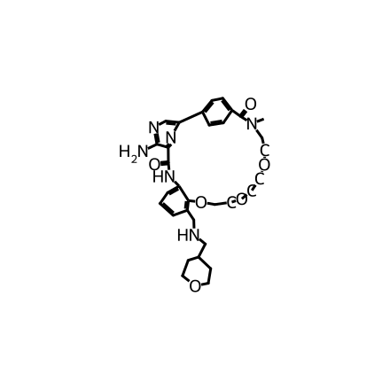 CN1CCOCCOCCOc2c(CNCC3CCOCC3)cccc2NC(=O)c2nc(cnc2N)-c2ccc(cc2)C1=O